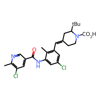 Cc1ncc(C(=O)Nc2cc(Cl)cc(C=C3CCN(C(=O)O)C(C(C)(C)C)C3)c2C)cc1Cl